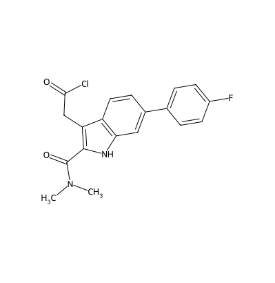 CN(C)C(=O)c1[nH]c2cc(-c3ccc(F)cc3)ccc2c1CC(=O)Cl